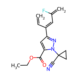 C=C/C(=C\C(=C)F)c1cc(C(=O)OCC)n(C2(C#N)CC2)n1